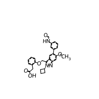 COc1cc2nn(C3CCC3)c(COc3ccccc3CC(=O)O)c2cc1-c1cccc(NC=O)c1